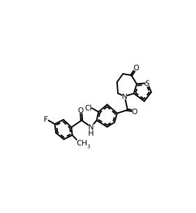 Cc1ccc(F)cc1C(=O)Nc1ccc(C(=O)N2CCCC(=O)c3sccc32)cc1Cl